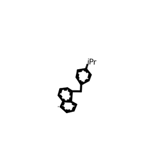 CC(C)c1ccc(Cc2cccc3[c]cccc23)cc1